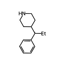 CC[C](c1ccccc1)C1CCNCC1